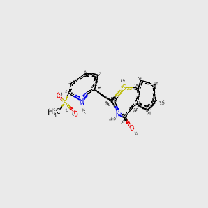 CS(=O)(=O)c1cccc(-c2nc(=O)c3ccccc3s2)n1